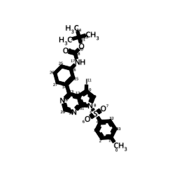 Cc1ccc(S(=O)(=O)n2cc(I)c3c(C4=CC(NC(=O)OC(C)(C)C)CCC4)ncnc32)cc1